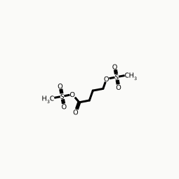 CS(=O)(=O)OCCCC(=O)OS(C)(=O)=O